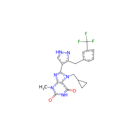 Cn1c(=O)[nH]c(=O)c2c1nc(-c1c[nH]nc1Cc1cccc(C(F)(F)F)c1)n2CC1CC1